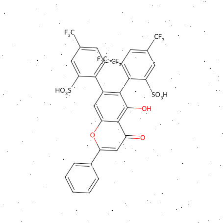 O=c1cc(-c2ccccc2)oc2cc(-c3c(C(F)(F)F)cc(C(F)(F)F)cc3S(=O)(=O)O)c(-c3c(C(F)(F)F)cc(C(F)(F)F)cc3S(=O)(=O)O)c(O)c12